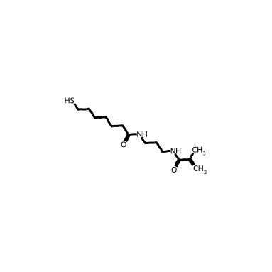 C=C(C)C(=O)NCCCNC(=O)CCCCCCS